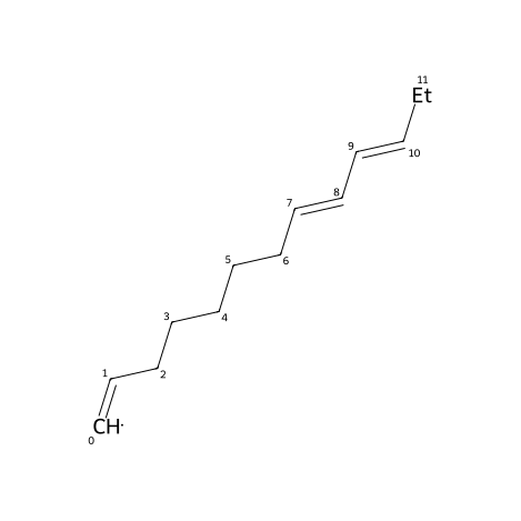 [CH]=CCCCCCC=CC=CCC